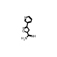 N=C(N)C1CC(c2cccnc2)=NO1